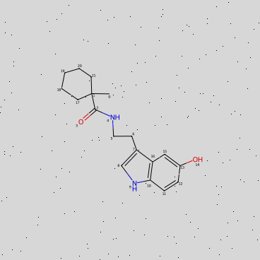 CC1(C(=O)NCCc2c[nH]c3ccc(O)cc23)CCCCC1